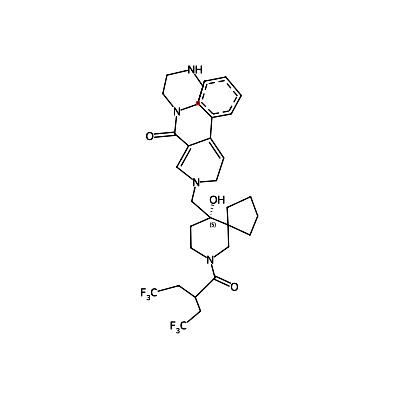 O=C(C1=CN(C[C@]2(O)CCN(C(=O)C(CC(F)(F)F)CC(F)(F)F)CC23CCCC3)CC=C1c1ccccc1)N1CCNCC1